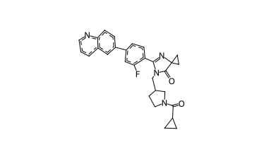 O=C(C1CC1)N1CCC(CN2C(=O)C3(CC3)N=C2c2ccc(-c3ccc4ncccc4c3)cc2F)C1